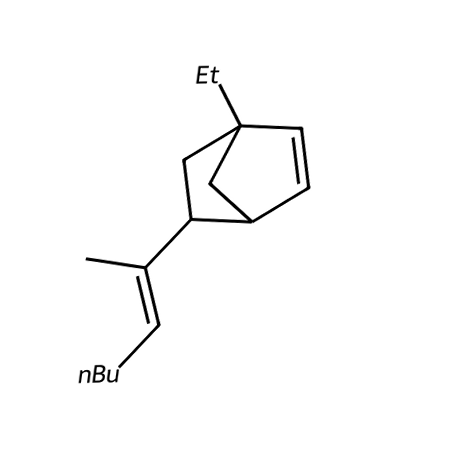 CCCCC=C(C)C1CC2(CC)C=CC1C2